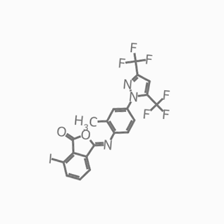 Cc1cc(-n2nc(C(F)(F)F)cc2C(F)(F)F)ccc1/N=C1\OC(=O)c2c(I)cccc21